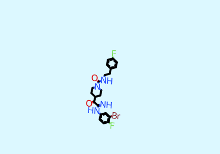 N=C(Nc1ccc(F)c(Br)c1)C(=O)C1CCN(C(=O)NCCc2ccc(F)cc2)CC1